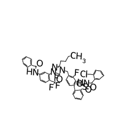 CCCCc1nn(-c2cc(NC(=O)c3ccccc3)ccc2C(F)(F)F)c(=O)n1Cc1ccc(-c2ccccc2S(=O)(=O)NC(=O)c2ccccc2Cl)cc1F